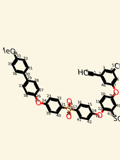 C#Cc1cc(C)cc(Oc2ccc(Oc3ccc(S(=O)(=O)c4ccc(Oc5ccc(-c6ccc(OC)cc6)cc5)cc4)cc3)c(S(=O)(=O)O)c2)c1